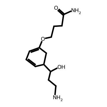 NCCC(O)C1C=CC=C(OCCCC(N)=O)C1